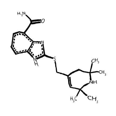 CC1(C)C=C(CSc2nc3c(C(N)=O)cccc3[nH]2)CC(C)(C)N1